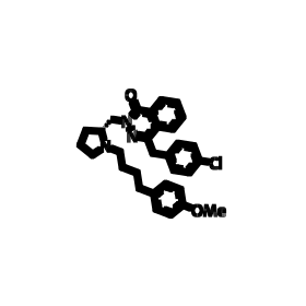 COc1ccc(CCCCN2CCC[C@@H]2Cn2nc(Cc3ccc(Cl)cc3)c3ccccc3c2=O)cc1